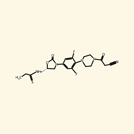 CCC(=S)NC[C@H]1CN(c2cc(F)c(N3CCN(C(=O)CC#N)CC3)c(F)c2)C(=O)O1